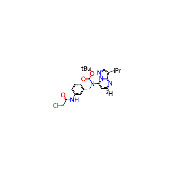 [2H]c1cc(N(Cc2cccc(NC(=O)CCl)c2)C(=O)OC(C)(C)C)n2ncc(C(C)C)c2n1